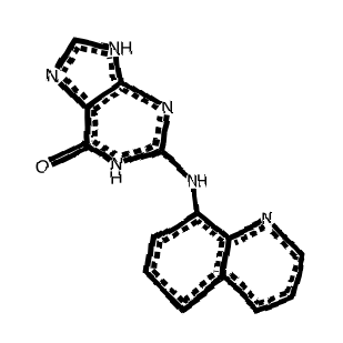 O=c1[nH]c(Nc2cccc3cccnc23)nc2[nH]cnc12